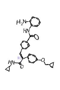 Nc1ccccc1NC(=O)c1ccc(/C=C(/C(=O)NC2CC2)c2ccc(OCC3CC3)cc2)cc1